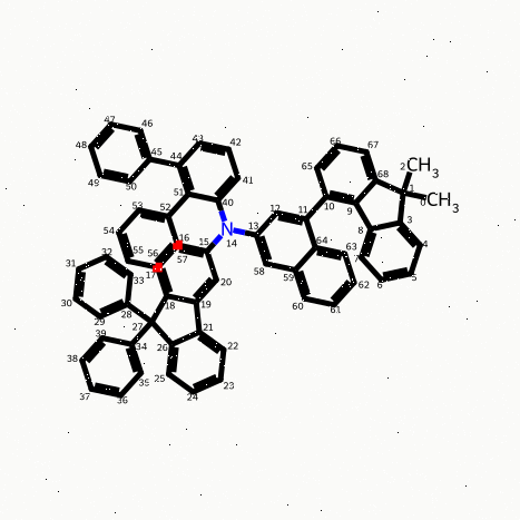 CC1(C)c2ccccc2-c2c(-c3cc(N(c4ccc5c(c4)-c4ccccc4C5(c4ccccc4)c4ccccc4)c4cccc(-c5ccccc5)c4-c4ccccc4)cc4ccccc34)cccc21